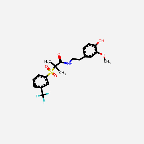 COc1cc(CCNC(=O)C(C)(C)S(=O)(=O)c2cccc(C(F)(F)F)c2)ccc1O